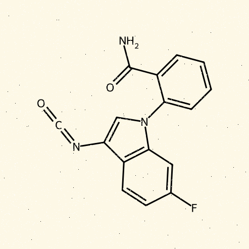 NC(=O)c1ccccc1-n1cc(N=C=O)c2ccc(F)cc21